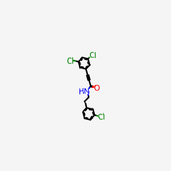 O=C(C#Cc1cc(Cl)cc(Cl)c1)NCCc1cccc(Cl)c1